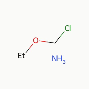 CCOCCl.N